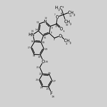 COCc1c(C(=O)OC(C)(C)C)ncc2[nH]c3ccc(OCc4ccc(F)cc4)cc3c12